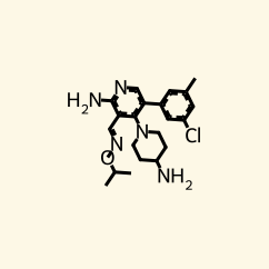 Cc1cc(Cl)cc(-c2cnc(N)c(C=NOC(C)C)c2N2CCC(N)CC2)c1